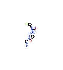 O=C(NC1CCCNC1)c1cccc(Nc2ncc(Br)c(NCc3cccc(F)c3)n2)c1